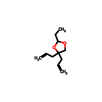 C=CCC1(CC=C)COC(CC)O1